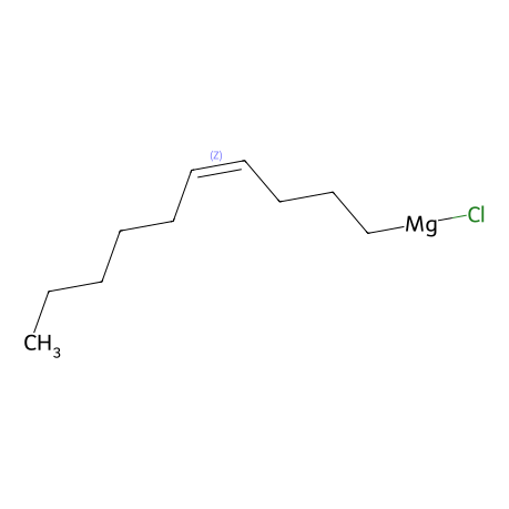 CCCCC/C=C\CC[CH2][Mg][Cl]